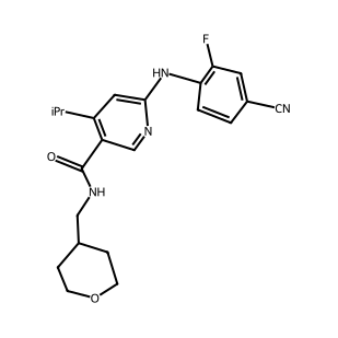 CC(C)c1cc(Nc2ccc(C#N)cc2F)ncc1C(=O)NCC1CCOCC1